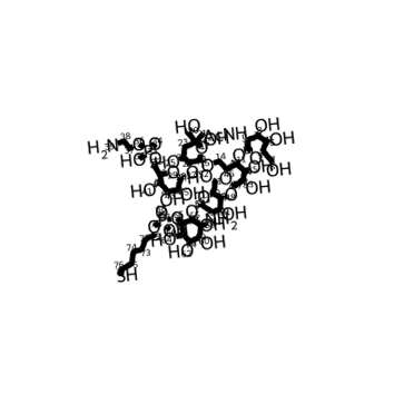 CC(=O)NC1C(O)[C@@H](O)C(CO)O[C@H]1O[C@@H]1C(CO[C@H]2OC(CO)(CO)CC(O)C2O[C@H]2OC(COP(=O)(O)OCCN)[C@@H](O)C(O)C2O)O[C@H](O[C@@H]2C(CO)O[C@H](O[C@@H]3C(O)C(O)[C@@H](O)C(O)C3OP(=O)(O)OCCCCCCS)C(N)C2O)C(O)C1O